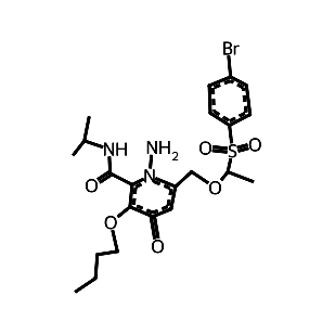 CCCCOc1c(C(=O)NC(C)C)n(N)c(COC(C)S(=O)(=O)c2ccc(Br)cc2)cc1=O